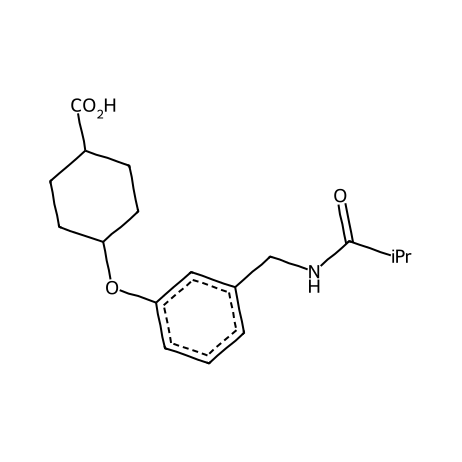 CC(C)C(=O)NCc1cccc(OC2CCC(C(=O)O)CC2)c1